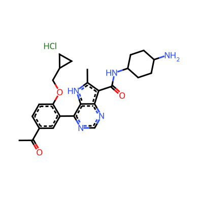 CC(=O)c1ccc(OCC2CC2)c(-c2ncnc3c(C(=O)NC4CCC(N)CC4)c(C)[nH]c23)c1.Cl